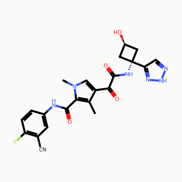 Cc1c(C(=O)C(=O)N[C@]2(c3cn[nH]n3)C[C@@H](O)C2)cn(C)c1C(=O)Nc1ccc(F)c(C#N)c1